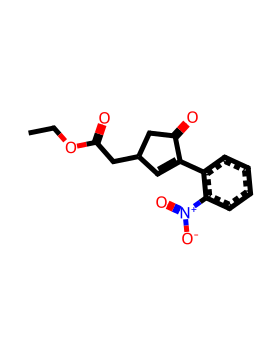 CCOC(=O)CC1C=C(c2ccccc2[N+](=O)[O-])C(=O)C1